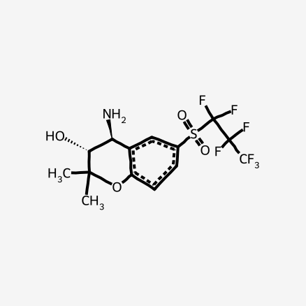 CC1(C)Oc2ccc(S(=O)(=O)C(F)(F)C(F)(F)C(F)(F)F)cc2[C@H](N)[C@H]1O